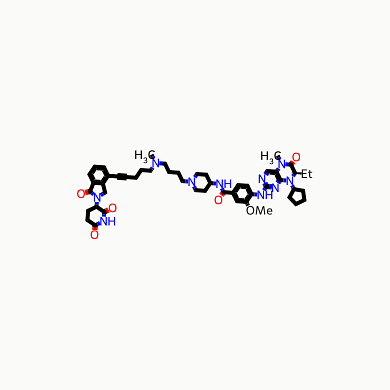 CC[C@@H]1C(=O)N(C)c2cnc(Nc3ccc(C(=O)NC4CCN(CCCCN(C)CCCC#Cc5cccc6c5CN(C5CCC(=O)NC5=O)C6=O)CC4)cc3OC)nc2N1C1CCCC1